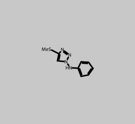 CSc1cn(Nc2ccccc2)nn1